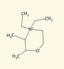 CC[N+]1(CC)CCOC(C)C1C